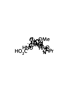 CC[C@H](C)[C@@H]([C@@H](CC(=O)N1CCC[C@H]1[C@H](OC)[C@@H](C)C(=O)NCC(=O)O)OC)N(C)C(=O)CNC(=O)C(C(C)C)N(C)C